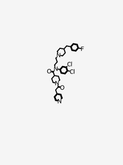 O=C(Cc1ccncc1)N1CCC(C(=O)N(CCCN2CCC(Cc3ccc(F)cc3)CC2)c2ccc(Cl)c(Cl)c2)CC1